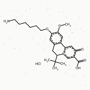 COc1cc2c(cc1OCCCCCCN)CC(C(C)(C)C)n1cc(C(=O)O)c(=O)cc1-2.Cl